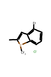 CCc1cccc2c1cc(C)[s+]2C(F)(F)F.[Cl-]